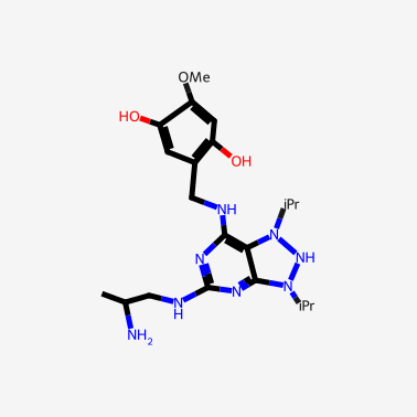 COc1cc(O)c(CNc2nc(NCC(C)N)nc3c2N(C(C)C)NN3C(C)C)cc1O